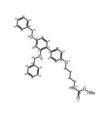 CC(C)(C)OC(=O)NCCCCOc1ccc(-c2ccc(OCc3ccccc3)nc2OCc2ccccc2)cc1